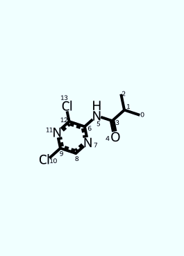 CC(C)C(=O)Nc1ncc(Cl)nc1Cl